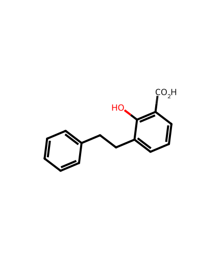 O=C(O)c1cccc(CCc2ccccc2)c1O